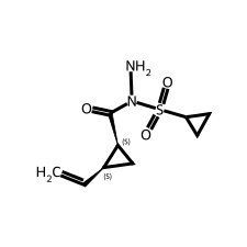 C=C[C@@H]1C[C@@H]1C(=O)N(N)S(=O)(=O)C1CC1